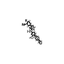 COc1cc(Nc2ncnc(-c3ccc(F)c(C#N)c3)n2)ccc1N1CCN(C2COC2)CC1